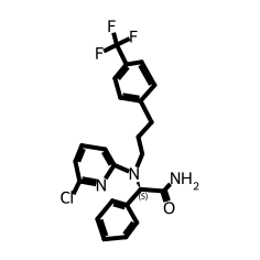 NC(=O)[C@H](c1ccccc1)N(CCCc1ccc(C(F)(F)F)cc1)c1cccc(Cl)n1